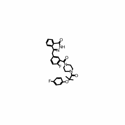 CC(C)(Oc1ccc(F)cc1)C(=O)N1CCN(C(=O)c2cc(Cc3n[nH]c(=O)c4ccccc34)ccc2F)CC1